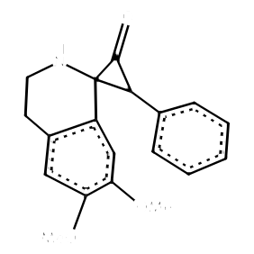 COc1cc2c(cc1OC)C1(NCC2)C(=O)C1c1ccccc1